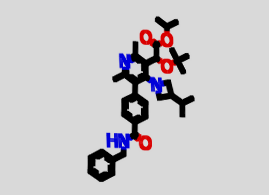 Cc1nc(C)c(C(OC(C)(C)C)C(=O)OC(C)C)c(N2CC(C(C)C)C2)c1-c1ccc(C(=O)NCc2ccccc2)cc1